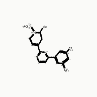 CC(C)(C)C1CC(c2nccc(-c3cc(C(F)(F)F)cc(C(F)(F)F)c3)n2)=CCN1C(=O)O